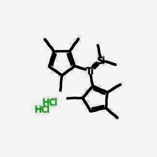 CC1=CC(C)[C]([Ti]([C]2=C(C)C(C)=CC2C)=[Si](C)C)=C1C.Cl.Cl